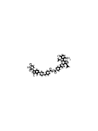 CC(C)n1nc(-c2noc(C3CC3)c2-c2ncc(C3CCN(C(=O)OCC(=O)N4CCC(CN5CCN(c6ccc7c(N8CCC(=O)NC8=O)nn(C)c7c6F)CC5)CC4)CC3)cn2)c2c(N)ncc(Cl)c21